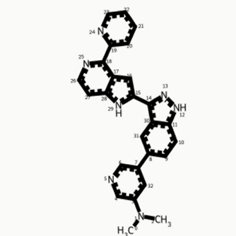 CN(C)c1cncc(-c2ccc3[nH]nc(-c4cc5c(-c6ccccn6)nccc5[nH]4)c3c2)c1